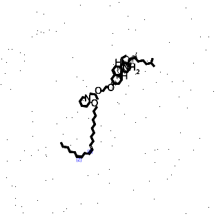 CCCCC/C=C\C/C=C\CCCCCCCCCCOCC(CN1CCCCC1)OCCO[C@H]1CC[C@@]2(C)C(=CC[C@@H]3[C@@H]2CC[C@]2(C)[C@@H]([C@H](C)CCCC(C)C)CC[C@@]32N)C1